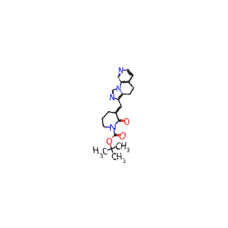 CC(C)(C)OC(=O)N1CCC/C(=C\c2ncn3c2CCc2ccncc2-3)C1=O